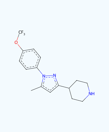 Cc1cc(C2CCNCC2)nn1-c1ccc(OC(F)(F)F)cc1